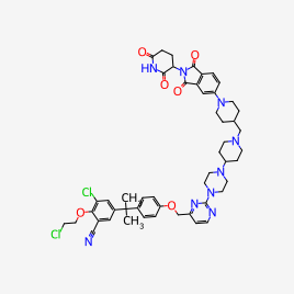 CC(C)(c1ccc(OCc2ccnc(N3CCN(C4CCN(CC5CCN(c6ccc7c(c6)C(=O)N(C6CCC(=O)NC6=O)C7=O)CC5)CC4)CC3)n2)cc1)c1cc(Cl)c(OCCCl)c(C#N)c1